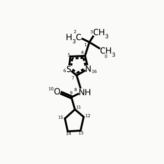 CC(C)(C)c1csc(NC(=O)C2CCCC2)n1